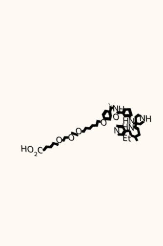 CCC1C(C)CC=C(C2(Nc3cccc(C(=O)N[C@@H](C)c4ccc(OCCCCCCOCCOCCOCCCCCC(=O)O)cc4)c3)CCNCC2)NC1c1ccncc1